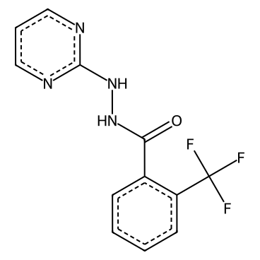 O=C(NNc1ncccn1)c1ccccc1C(F)(F)F